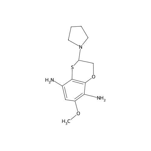 COc1cc(N)c2c(c1N)OCC(N1CCCC1)S2